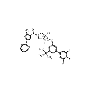 Cc1nc(-c2ncccn2)sc1C(=O)N1C[C@@H]2[C@H](C1)[C@@H]2Oc1cc(C(C)(C)N)cc(-c2cc(F)c(F)c(F)c2)n1